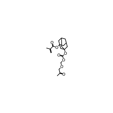 C=C(C)C(=O)OC12CC3CC(CC(OC(=O)OCOCC(C)=O)(C3)C1)C2